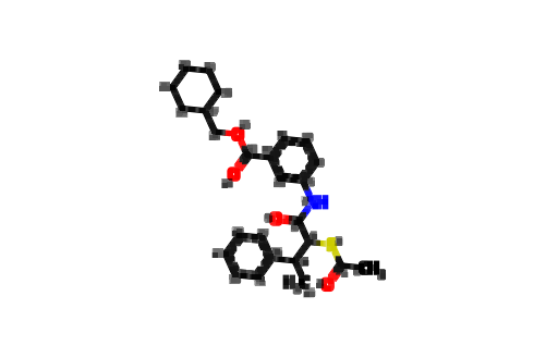 CC(=O)SC(C(=O)Nc1cccc(C(=O)OCC2CCCCC2)c1)C(C)c1ccccc1